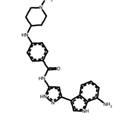 CN1CCC(Nc2ccc(C(=O)Nc3cc(-c4c[nH]c5c(N)cccc45)n[nH]3)cc2)CC1